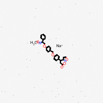 CON=C(COc1ccc(COc2ccc(C(CC(=O)[O-])c3ccon3)cc2)cc1)c1ccccc1.[Na+]